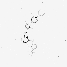 CCS(=O)(=O)N1CCC(Nc2c(Br)cnc3[nH]c(-c4cc(C)n(-c5ccc(N6CCOCC6)cc5)c4C)nc23)C1